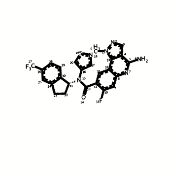 Cn1ncc2c(N)nc3cc(F)c(C(=O)N(c4cnsc4)[C@@H]4CCc5cc(C(F)(F)F)ccc54)cc3c21